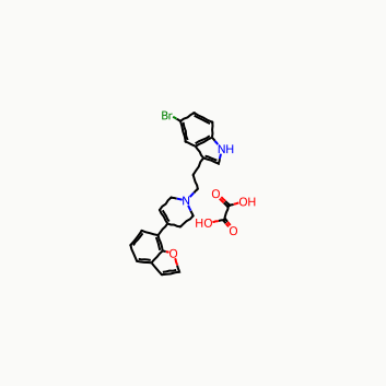 Brc1ccc2[nH]cc(CCN3CC=C(c4cccc5ccoc45)CC3)c2c1.O=C(O)C(=O)O